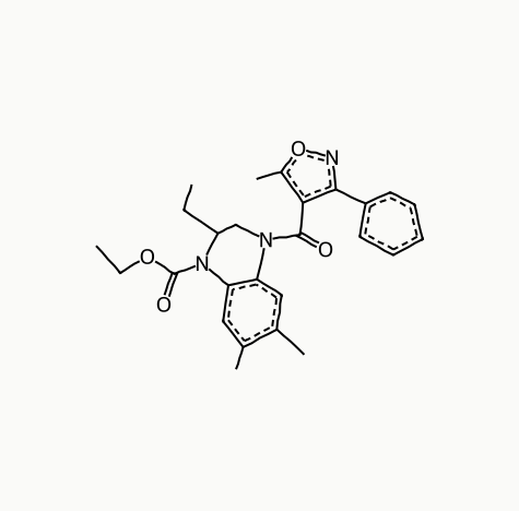 CCOC(=O)N1c2cc(C)c(C)cc2N(C(=O)c2c(-c3ccccc3)noc2C)CC1CC